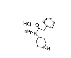 CCCN(C(=O)Cc1ccccc1)C1CCNCC1.Cl